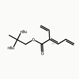 C=C/C=C(\C=C)C(=O)OCC(C)(CCCC)CCCC